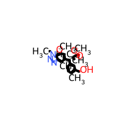 CCn1nnc2c(C)c([C@@H](c3ccc(C)c(CO)c3)C(C)(C)C(=O)OC)cc(OC)c21